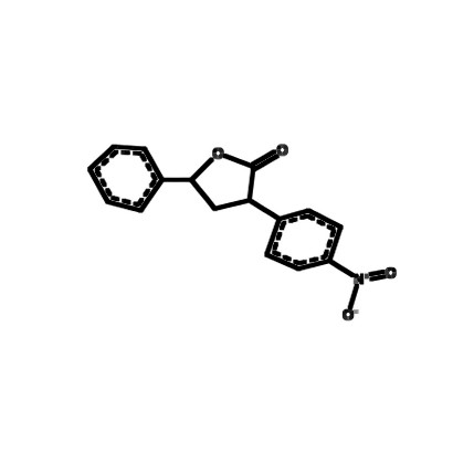 O=C1OC(c2ccccc2)CC1c1ccc([N+](=O)[O-])cc1